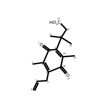 C=CCC1=C(C)C(=O)C(C(C)(C)CC(=O)O)=C(C)C1=O